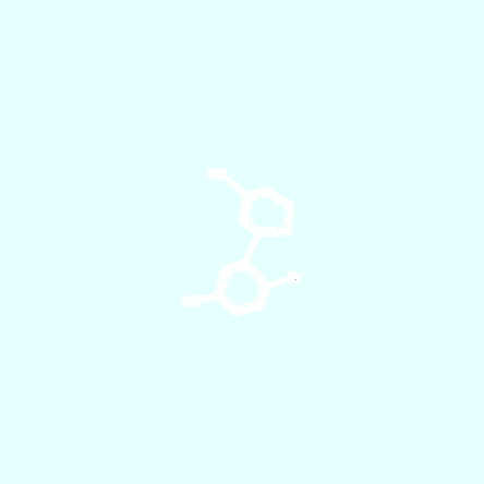 Oc1cccc(-c2cc(O)ccc2Br)c1